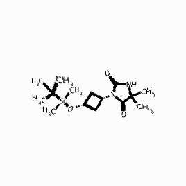 CC1(C)NC(=O)N([C@H]2C[C@@H](O[Si](C)(C)C(C)(C)C)C2)C1=O